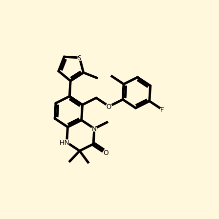 Cc1ccc(F)cc1OCc1c(-c2ccsc2C)ccc2c1N(C)C(=O)C(C)(C)N2